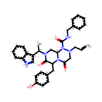 C=CCN1CC(=O)N2C(Cc3ccc(O)cc3)C(=O)N(C(CCC)c3c[nH]c4ccccc34)CC2N1C(=O)NCc1ccccc1